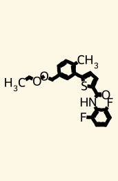 CCOOCc1ccc(C)c(-c2ccc(C(=O)Nc3c(F)cccc3F)s2)c1